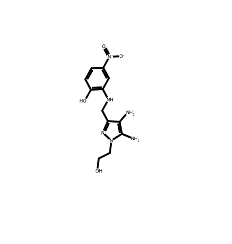 Nc1c(CNc2cc([N+](=O)[O-])ccc2O)nn(CCO)c1N